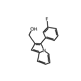 OCc1cc2ccccn2c1-c1cccc(F)c1